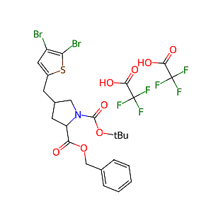 CC(C)(C)OC(=O)N1CC(Cc2cc(Br)c(Br)s2)CC1C(=O)OCc1ccccc1.O=C(O)C(F)(F)F.O=C(O)C(F)(F)F